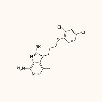 CCCc1nc2c(N)ncc(C)c2n1CCCSc1ccc(Cl)cc1Cl